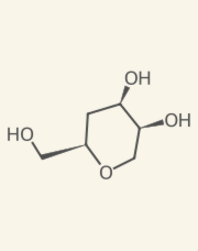 OC[C@H]1C[C@@H](O)[C@@H](O)CO1